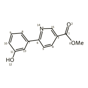 COC(=O)c1ccc(-c2cccc(O)c2)nc1